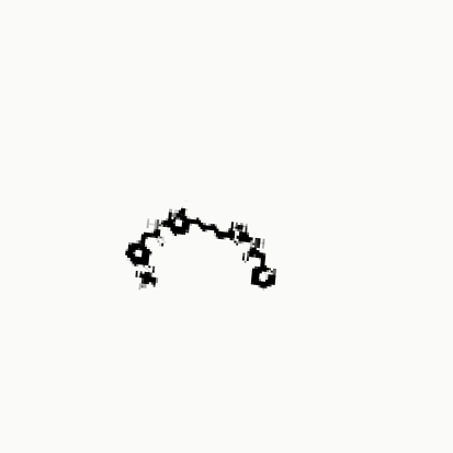 O=C(Cc1cccc(OC(F)(F)F)c1)Nc1ccc(CCCCc2nnc(NC(=O)Cc3ccccn3)s2)c(F)n1